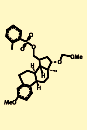 COCO[C@H]1CC(COS(=O)(=O)c2ccccc2C)[C@H]2[C@@H]3CCc4cc(OC)ccc4[C@H]3CC[C@]12C